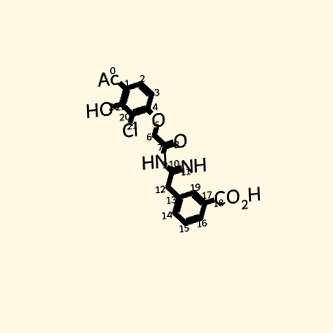 CC(=O)c1ccc(OCC(=O)NC(=N)Cc2cccc(C(=O)O)c2)c(Cl)c1O